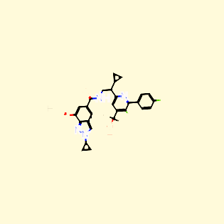 COc1cc(C(=O)NCC(c2cc(C(C)(C)O)c(F)c(-c3ccc(F)cc3)n2)C2CC2)cc2cn(C3CC3)nc12